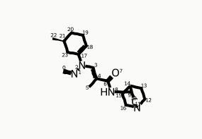 C=NN(/C=C(\C)C(=O)NC1CN2CCC1CC2)C1=CCC[C@H](C)C1